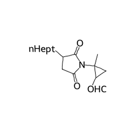 CCCCCCCC1CC(=O)N(C2(C)CC2C=O)C1=O